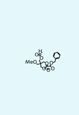 COCC1(CO[PH](C)=O)COP(=O)(C(=O)OCc2ccccc2)OC1